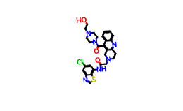 O=C(CN1CCc2nc3ccccc3c(C(=O)N3CCN(CCO)CC3)c2C1)Nc1cc(Cl)cc2ncsc12